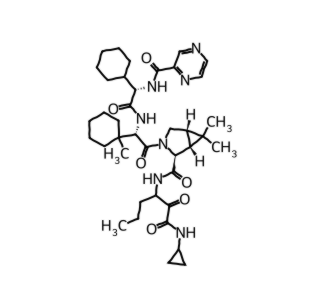 CCCC(NC(=O)[C@@H]1[C@@H]2[C@H](CN1C(=O)[C@@H](NC(=O)[C@@H](NC(=O)c1cnccn1)C1CCCCC1)C1(C)CCCCC1)C2(C)C)C(=O)C(=O)NC1CC1